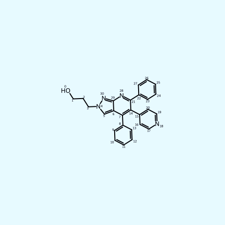 OCCCn1cc2c(-c3ccccc3)c(-c3ccncc3)c(-c3ccccc3)nc2n1